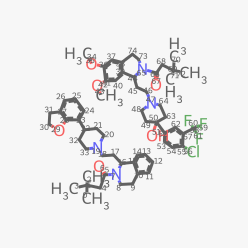 CC(C)(C)CC(=O)N1CCc2ccccc2C1CCN1CCC(c2cccc3c2OCC3)CC1.COc1cc2c(cc1OC)C(CCN1CCC(O)(c3ccc(Cl)c(C(F)(F)F)c3)CC1)N(C(=O)CC(C)(C)C)CC2